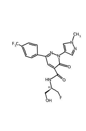 Cn1cc(-n2nc(-c3ccc(C(F)(F)F)cc3)cc(C(=O)N[C@H](CO)CF)c2=O)cn1